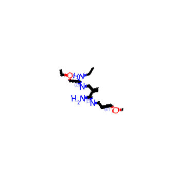 C=C(C/N=C(/COCC)NCC)/C(N)=N\C/C=C/OC